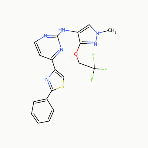 Cn1cc(Nc2nccc(-c3csc(-c4ccccc4)n3)n2)c(OCC(F)(F)F)n1